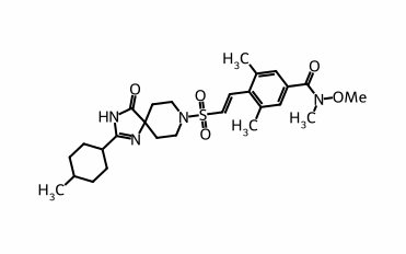 CON(C)C(=O)c1cc(C)c(C=CS(=O)(=O)N2CCC3(CC2)N=C(C2CCC(C)CC2)NC3=O)c(C)c1